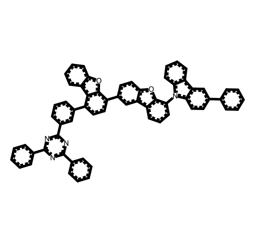 c1ccc(-c2ccc3c(c2)c2ccccc2n3-c2cccc3c2oc2ccc(-c4ccc(-c5cccc(-c6nc(-c7ccccc7)nc(-c7ccccc7)n6)c5)c5c4oc4ccccc45)cc23)cc1